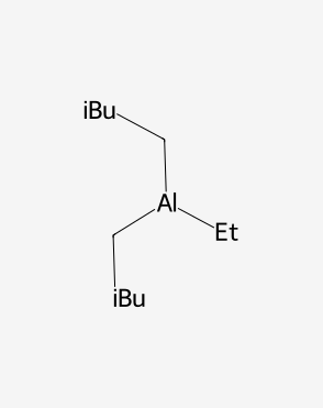 CCC(C)[CH2][Al]([CH2]C)[CH2]C(C)CC